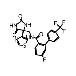 O=C1NC(=O)[C@@](CNC(=O)c2ccc(F)cc2-c2ccc(C(F)(F)F)cc2)(c2cscn2)N1